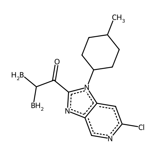 BC(B)C(=O)c1nc2cnc(Cl)cc2n1C1CCC(C)CC1